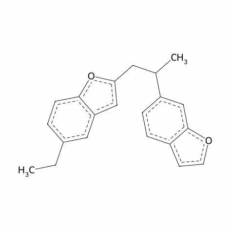 CCc1ccc2oc(CC(C)c3ccc4ccoc4c3)cc2c1